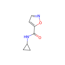 O=C(NC1CC1)c1ccno1